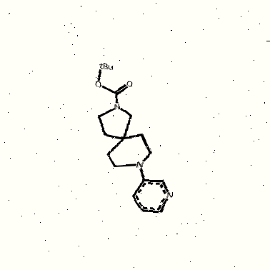 CC(C)(C)OC(=O)N1CCC2(CCN(c3cccnc3)CC2)C1